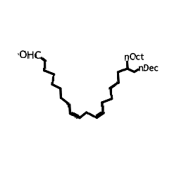 CCCCCCCCCCCC(CCCCC/C=C\C/C=C\CCCCCCC[C]=O)CCCCCCCC